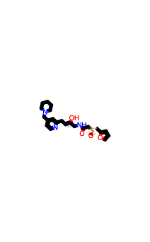 O=C(C[S+]([O-])Cc1ccco1)NC/C(O)=C/Cc1cc(CN2CCCCC2)ccn1